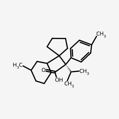 Cc1ccc([C@](C(=O)O)(C(C)C)C2(C3CCCC(C)C3)CCCC2)cc1